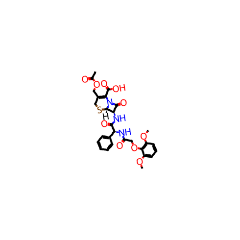 COc1cccc(OC)c1OCC(=O)N[C@H](C(=O)N[C@@H]1C(=O)N2C(C(=O)O)=C(COC(C)=O)CS[C@H]12)c1ccccc1